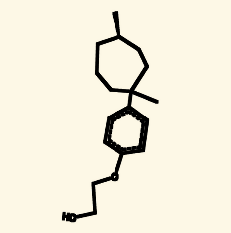 C[C@@H]1CCCC(C)(c2ccc(OCCO)cc2)CC1